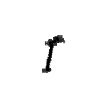 CC(NC(=O)CC[C@H](NC(=O)CCCCCCCCCCCCCCCCCCC(=O)O)C(=O)O)C(=O)S